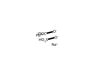 O=C([O-])[O-].O=S(=O)([O-])O.[Na+].[Pb+2]